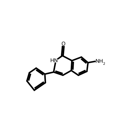 Nc1ccc2cc(-c3ccccc3)[nH]c(=O)c2c1